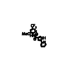 COc1cc(C(F)(F)F)cnc1NS(=O)(=O)c1c[nH]c(-c2ccccn2)c1